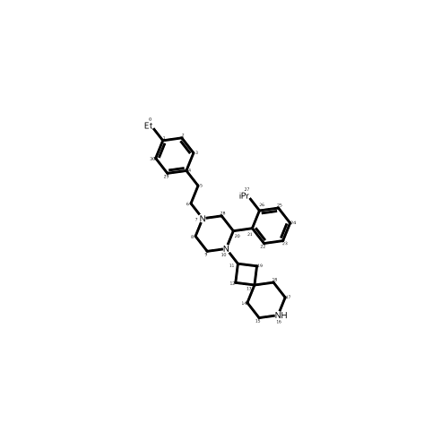 CCc1ccc(CCN2CCN(C3CC4(CCNCC4)C3)C(c3ccccc3C(C)C)C2)cc1